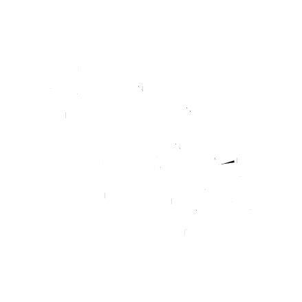 CCS(=O)(=O)c1cc(C(F)(F)F)cnc1-c1ncc([C@@H](F)C(F)(C(F)(F)F)C(F)(F)F)n1C